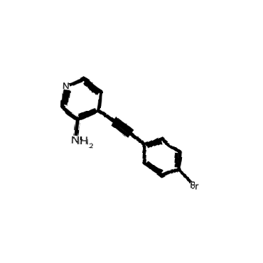 Nc1cnccc1C#Cc1ccc(Br)cc1